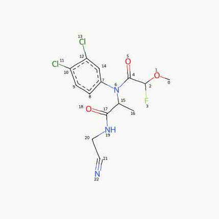 COC(F)C(=O)N(c1ccc(Cl)c(Cl)c1)C(C)C(=O)NCC#N